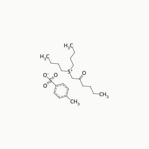 CCCCC(=O)C[S+](CCCC)CCCC.Cc1ccc(S(=O)(=O)[O-])cc1